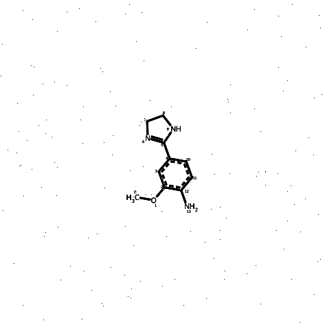 COc1cc(C2=NCCN2)ccc1N